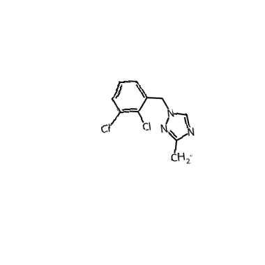 [CH2]c1ncn(Cc2cccc(Cl)c2Cl)n1